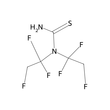 NC(=S)N(C(F)(F)CF)C(F)(F)CF